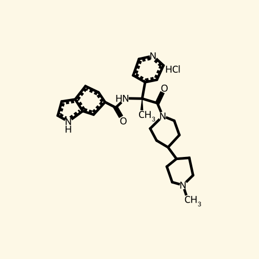 CN1CCC(C2CCN(C(=O)[C@](C)(NC(=O)c3ccc4cc[nH]c4c3)c3ccncc3)CC2)CC1.Cl